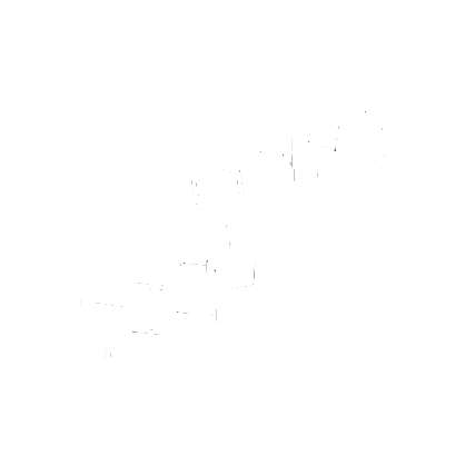 CC1(CNCc2cccc(C3CCCN3C(=O)c3cc(Cl)c(O)cc3O)c2)CCOCC1